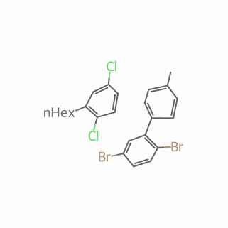 CCCCCCc1cc(Cl)ccc1Cl.Cc1ccc(-c2cc(Br)ccc2Br)cc1